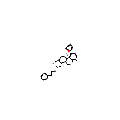 O=S1(=O)N[C@@H]2CC[C@@]3(S(=O)(=O)c4ccc(C(F)(F)F)cc4)c4c(F)ccc(F)c4OC[C@H]3[C@@H]2C[C@H]1CCCc1ccccc1